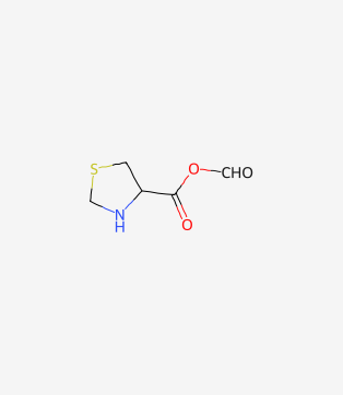 O=COC(=O)C1CSCN1